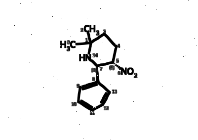 CC1(C)CC[C@H]([N+](=O)[O-])[C@@H](c2ccccc2)N1